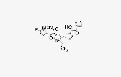 CNC(=O)c1c(-c2ccc(F)cc2)oc2nc(CCC(F)(F)F)c(-c3cccc(C(O)C(=O)c4ccccc4)c3)cc12